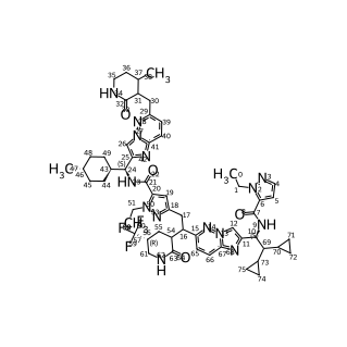 CCn1nccc1C(=O)N[C@H](c1cn2nc(C(Cc3cc(C(=O)N[C@H](c4cn5nc(CC6C(=O)NCCC6C)ccc5n4)[C@H]4CC[C@H](C)CC4)n(CC)n3)C3C[C@@H](C(F)(F)F)CNC3=O)ccc2n1)C(C1CC1)C1CC1